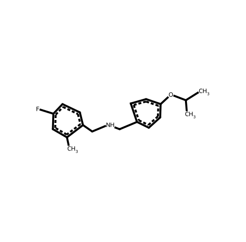 Cc1cc(F)ccc1CNCc1ccc(OC(C)C)cc1